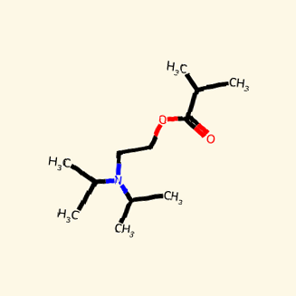 CC(C)C(=O)OCCN(C(C)C)C(C)C